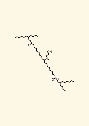 CCCCCCC(CCCC)COC(=O)CCCCCCCCC(CCCCCCCCC(=O)OCC(CCCC)CCCCCC)N(C)CCO